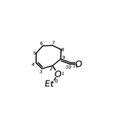 CCOC1C=CCCCCC1=C=O